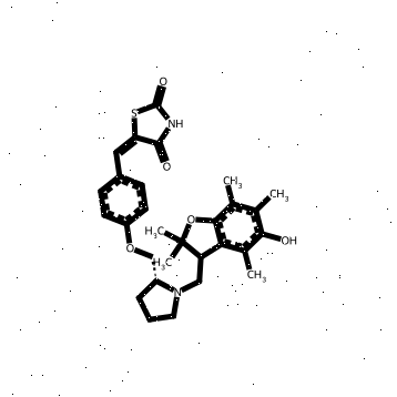 Cc1c(C)c2c(c(C)c1O)C(CN1CCC[C@@H]1COc1ccc(C=C3SC(=O)NC3=O)cc1)C(C)(C)O2